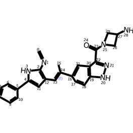 C=Nc1[nH]c(-c2ccccc2)cc1/C=C(\C)c1ccc2[nH]nc(C(=O)N3CC(N)C3)c2c1